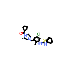 Cc1c(CN2CCN(C(=O)C3CCCC3)[C@@H](C)C2)cc(Cl)cc1Nc1nc2ccccc2s1